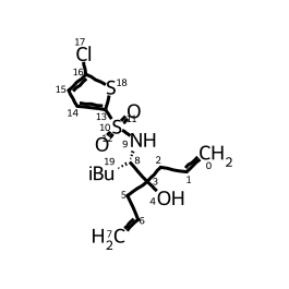 C=CCC(O)(CC=C)[C@@H](NS(=O)(=O)c1ccc(Cl)s1)[C@@H](C)CC